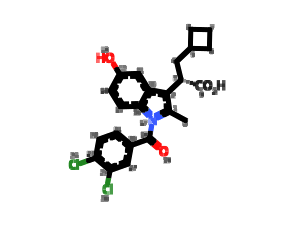 Cc1c([C@H](CC2CCC2)C(=O)O)c2cc(O)ccc2n1C(=O)c1ccc(Cl)c(Cl)c1